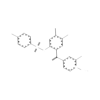 CO[n+]1ccc(C(=O)c2cc(C)c(C)cc2NS(=O)(=O)c2ccc(C)cc2)cc1C